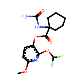 COc1ccc(OC(=O)C2(NC(N)=O)CCCCC2)c(OC(F)F)n1